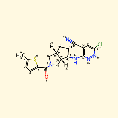 Cc1ccc(C(=O)N2C[C@@H]3CC[C@@H](Nc4nnc(Cl)cc4C#N)[C@@H]3C2)s1